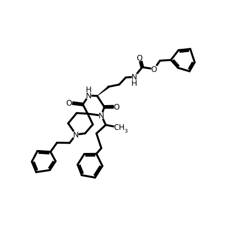 CC(CCc1ccccc1)N1C(=O)[C@H](CCCNC(=O)OCc2ccccc2)NC(=O)C12CCN(CCc1ccccc1)CC2